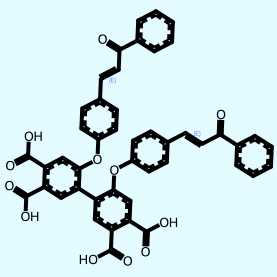 O=C(/C=C/c1ccc(Oc2cc(C(=O)O)c(C(=O)O)cc2-c2cc(C(=O)O)c(C(=O)O)cc2Oc2ccc(/C=C/C(=O)c3ccccc3)cc2)cc1)c1ccccc1